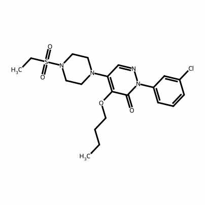 CCCCOc1c(N2CCN(S(=O)(=O)CC)CC2)cnn(-c2cccc(Cl)c2)c1=O